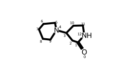 O=C1CC(N2CCCCC2)CCN1